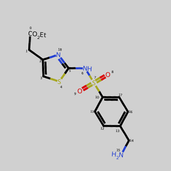 CCOC(=O)Cc1csc(NS(=O)(=O)c2ccc(CN)cc2)n1